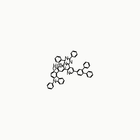 C=C/C(=C\c1c(C)oc2ccc3c(c4ccccc4n3-c3ccccc3)c12)c1ncc(-c2ccc(-c3ccccc3)c(-c3ccccc3)c2)cc1-c1nc(-c2ccccc2)nc(-c2ccccc2)n1